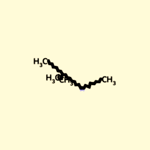 CCCCCCCC/C=C\CCCCCCCC(CCCCCCCC)N(C)C